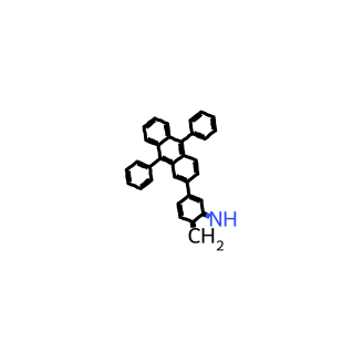 C=C1C=CC(c2ccc3c(-c4ccccc4)c4ccccc4c(-c4ccccc4)c3c2)=CC1=N